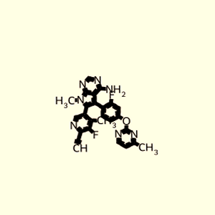 C#Cc1ncc(-c2c(-c3ccc(Oc4nccc(C)n4)cc3F)c3c(N)ncnc3n2C)c(C)c1F